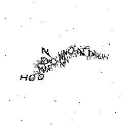 N#Cc1cc(-c2ncnc(Nc3ccc(N4CCN(CCO)CC4)cc3)n2)ccc1OC1CCN(C(=O)CO)CC1F